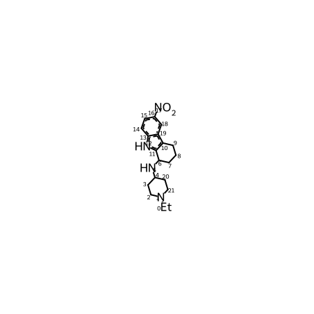 CCN1CCC(NC2CCCc3c2[nH]c2ccc([N+](=O)[O-])cc32)CC1